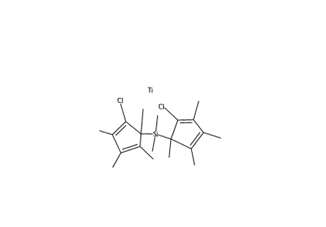 CC1=C(C)C(C)([Si](C)(C)C2(C)C(C)=C(C)C(C)=C2Cl)C(Cl)=C1C.[Ti]